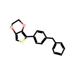 c1ccc(Cc2ccc(-c3scc4c3OCCO4)cc2)cc1